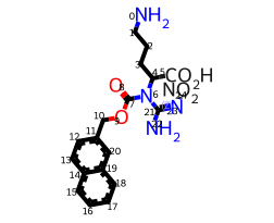 NCCCC(C(=O)O)N(C(=O)OCc1ccc2ccccc2c1)/C(N)=N\[N+](=O)[O-]